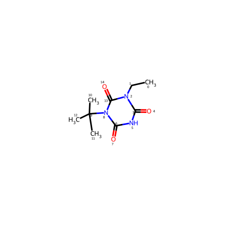 CCn1c(=O)[nH]c(=O)n(C(C)(C)C)c1=O